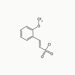 O=S(=O)(Cl)/C=C/c1ccccc1OC(F)(F)F